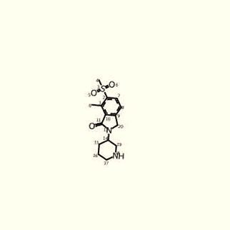 Cc1c(S(C)(=O)=O)ccc2c1C(=O)N(C1CCCNC1)C2